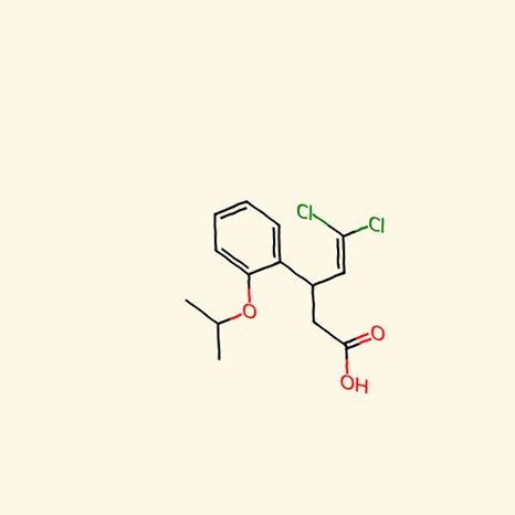 CC(C)Oc1ccccc1C(C=C(Cl)Cl)CC(=O)O